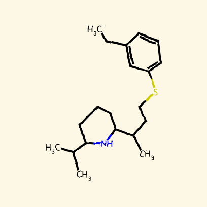 CCc1cccc(SCCC(C)C2CCCC(C(C)C)N2)c1